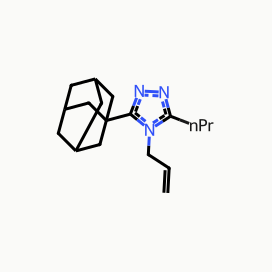 C=CCn1c(CCC)nnc1C12CC3CC(CC(C3)C1)C2